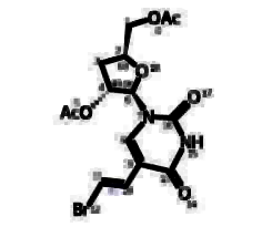 CC(=O)OC[C@@H]1C[C@@H](OC(C)=O)[C@H](n2cc(/C=C/Br)c(=O)[nH]c2=O)O1